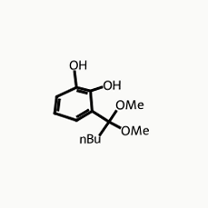 CCCCC(OC)(OC)c1cccc(O)c1O